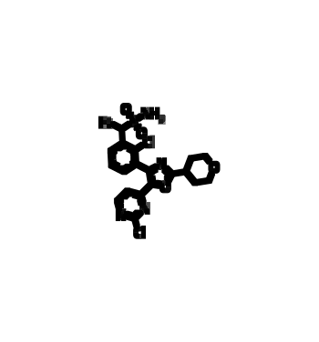 CCC(c1cccc(-c2nc(C3CCOCC3)oc2-c2ccnc(Cl)n2)c1Cl)S(N)(=O)=O